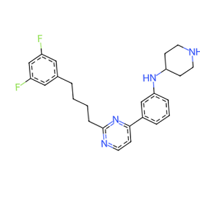 Fc1cc(F)cc(CCCCc2nccc(-c3cccc(NC4CCNCC4)c3)n2)c1